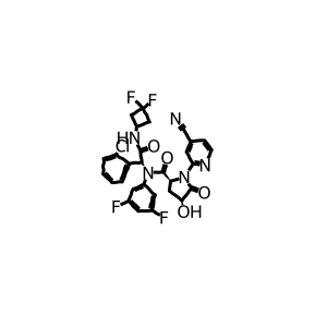 N#Cc1ccnc(N2C(=O)[C@H](O)C[C@H]2C(=O)N(c2cc(F)cc(F)c2)[C@@H](C(=O)NC2CC(F)(F)C2)c2ccccc2Cl)c1